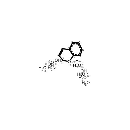 C1=Cc2ccccc2OC1.O.O.O.O.O.O.O.O.O.O